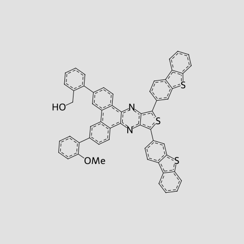 COc1ccccc1-c1ccc2c(c1)c1cc(-c3ccccc3CO)ccc1c1nc3c(-c4ccc5c(c4)sc4ccccc45)sc(-c4ccc5c(c4)sc4ccccc45)c3nc21